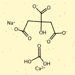 O=C(O)O.O=C([O-])CC(O)(CC(=O)[O-])C(=O)[O-].[Ca+2].[Na+]